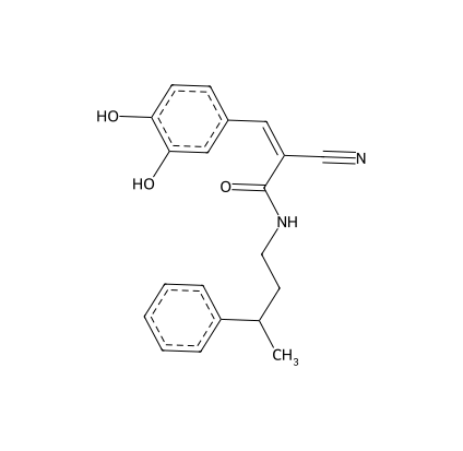 CC(CCNC(=O)C(C#N)=Cc1ccc(O)c(O)c1)c1ccccc1